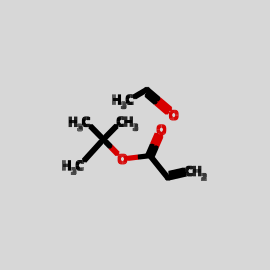 C=CC(=O)OC(C)(C)C.CC=O